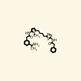 CC(N)c1cccc(CC(=O)Nc2ccc(CCCCc3nnc(NC(=O)Cc4ccccc4)s3)n2C)c1